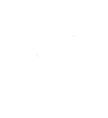 CC(C)c1ccc(Cl)c(C(N)=O)c1